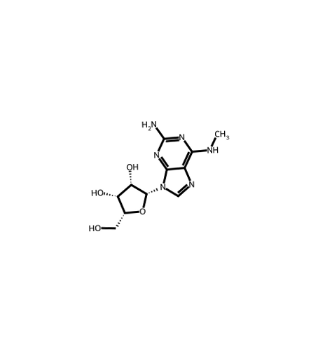 CNc1nc(N)nc2c1ncn2[C@@H]1O[C@H](CO)[C@H](O)[C@@H]1O